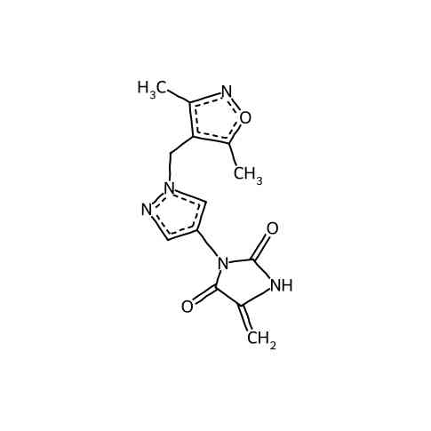 C=C1NC(=O)N(c2cnn(Cc3c(C)noc3C)c2)C1=O